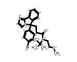 COCCN(C(=O)CCC1(c2ccc(Br)cc2)c2ccccc2-c2nccn21)C(C)(C)C